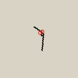 C=CCCCCCCS(=O)(=O)c1ccc(CCCCCCCCCCCCC)cc1